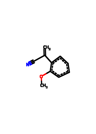 C=C(C#N)c1ccccc1OC